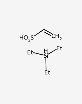 C=CS(=O)(=O)O.CC[SiH](CC)CC